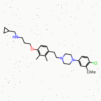 COc1cc(N2CCN(CCc3ccc(OCCCNCC4CC4)c(C)c3C)CC2)ccc1Cl